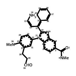 CNC(=O)c1ccc2c(c1)nc(C(/C=C\N)=C1\C=CC=CC1)n2-c1ccc(NC)c(CCC=O)c1